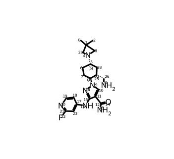 CC1(C)CN([C@H]2CC[C@H](n3cc(C(N)=O)c(Nc4ccnc(F)c4)n3)[C@@H](CN)C2)C1